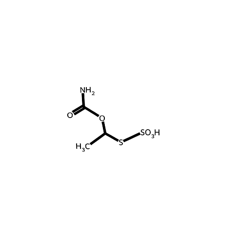 CC(OC(N)=O)SS(=O)(=O)O